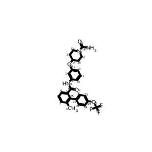 Cc1cccc(C(=O)Nc2cccc(OC3CCN(C(N)=O)CC3)c2)c1-c1ccc(OC(F)(F)F)cc1